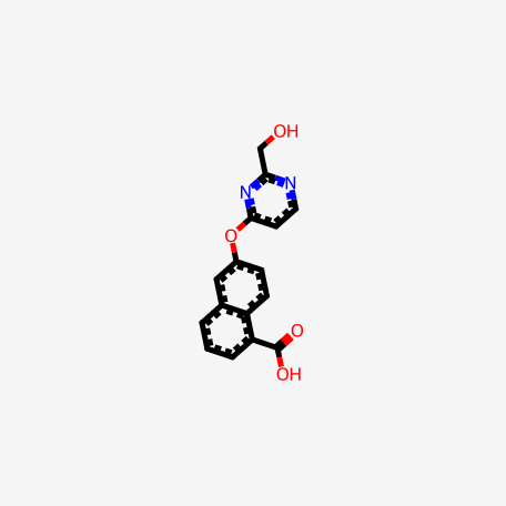 O=C(O)c1cccc2cc(Oc3ccnc(CO)n3)ccc12